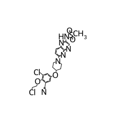 CS(=O)(=O)Nc1cnc2nc(N3CCC(Oc4cc(Cl)c(OCCCl)c(C#N)c4)CC3)ccc2n1